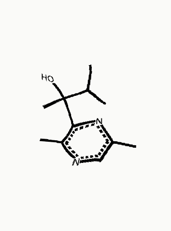 Cc1cnc(C)c(C(C)(O)C(C)C)n1